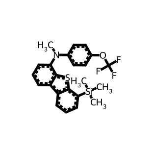 CN(c1ccc(OC(F)(F)F)cc1)c1cccc2c1sc1c([Si](C)(C)C)cccc12